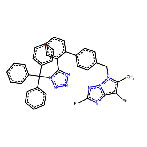 CCc1nc2c(CC)c(C)n(Cc3ccc(-c4ccccc4-c4nnnn4C(c4ccccc4)(c4ccccc4)c4ccccc4)cc3)n2n1